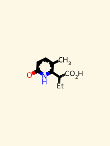 CCC(C(=O)O)c1[nH]c(=O)ccc1C